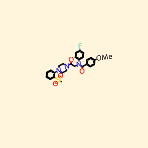 COc1ccc(C(=O)N(CC(=O)N2CCN(c3ccccc3S(C)(=O)=O)CC2)c2ccc(F)cc2)cc1